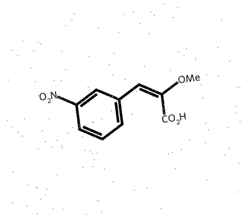 CO/C(=C/c1cccc([N+](=O)[O-])c1)C(=O)O